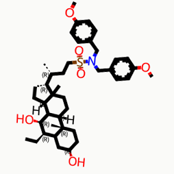 CC[C@@H]1C2C[C@H](O)CC[C@@]2(C)[C@H]2CCC3(C)[C@@H]([C@H](C)CCS(=O)(=O)N(Cc4ccc(OC)cc4)Cc4ccc(OC)cc4)CC[C@H]3C2[C@@H]1O